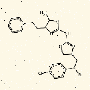 CCN(CC1COC(NC2=NC(CCc3ccccc3)C(C)O2)=N1)c1ccc(Cl)cc1